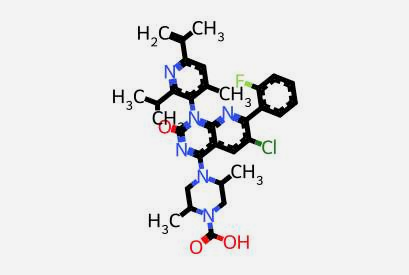 C=C(C)c1cc(C)c(-n2c(=O)nc(N3CC(C)N(C(=O)O)CC3C)c3cc(Cl)c(-c4ccccc4F)nc32)c(C(C)C)n1